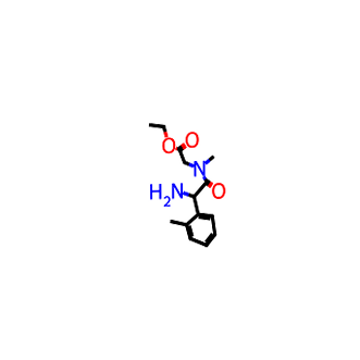 CCOC(=O)CN(C)C(=O)C(N)c1ccccc1C